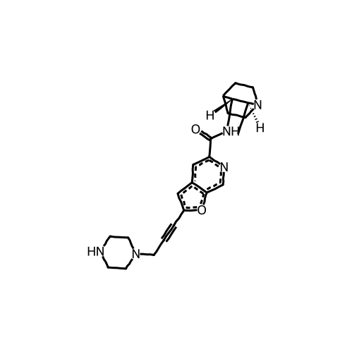 C[C@H]1[C@H](NC(=O)c2cc3cc(C#CCN4CCNCC4)oc3cn2)C2CCN1CC2